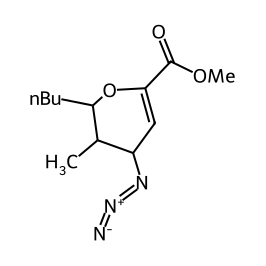 CCCCC1OC(C(=O)OC)=CC(N=[N+]=[N-])C1C